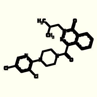 CC(C)Cn1nc(C(=O)N2CCN(c3ncc(Cl)cc3Cl)CC2)c2ccccc2c1=O